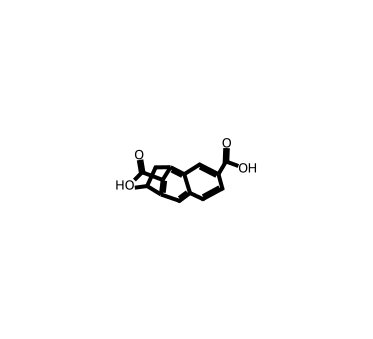 CC1Cc2c(C(=O)O)c1cc1ccc(C(=O)O)cc21